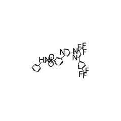 O=S(=O)(NCCc1ccccc1)c1cccc(-c2cc(-c3nc(-c4ccc(C(F)(F)F)cc4)cc(C(F)(F)F)n3)ccn2)c1